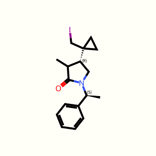 CC1C(=O)N([C@@H](C)c2ccccc2)C[C@H]1C1(CI)CC1